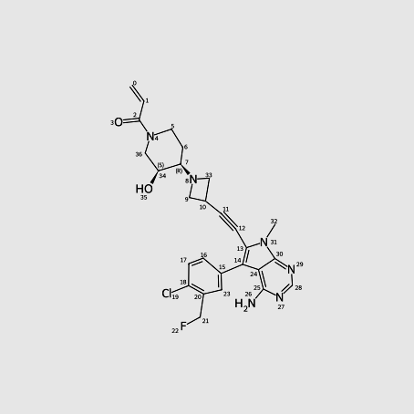 C=CC(=O)N1CC[C@@H](N2CC(C#Cc3c(-c4ccc(Cl)c(CF)c4)c4c(N)ncnc4n3C)C2)[C@@H](O)C1